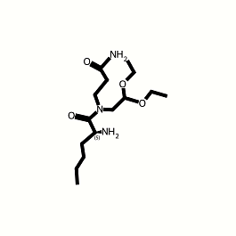 CCCC[C@H](N)C(=O)N(CCC(N)=O)CC(OCC)OCC